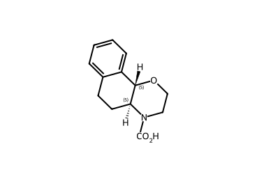 O=C(O)N1CCO[C@H]2c3ccccc3CC[C@@H]21